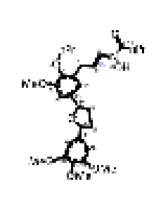 CCCOc1c(C/C=C/N(O)C(=O)CCC)cc(C2CCC(c3cc(OC)c(OC)c(OC)c3)O2)cc1OC